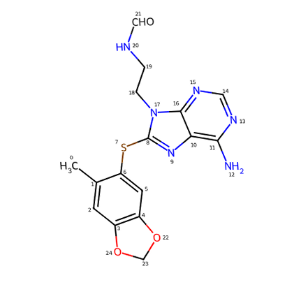 Cc1cc2c(cc1Sc1nc3c(N)ncnc3n1CCNC=O)OCO2